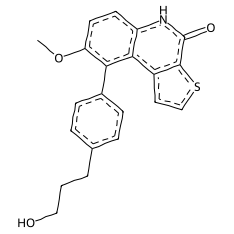 COc1ccc2[nH]c(=O)c3sccc3c2c1-c1ccc(CCCO)cc1